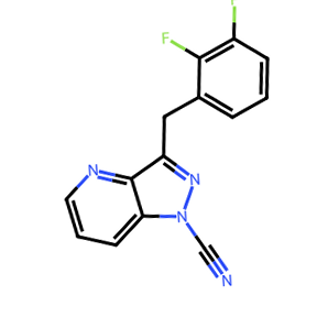 N#Cn1nc(Cc2cccc(F)c2F)c2ncccc21